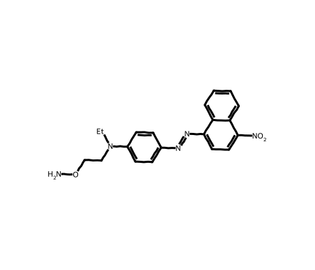 CCN(CCON)c1ccc(N=Nc2ccc([N+](=O)[O-])c3ccccc23)cc1